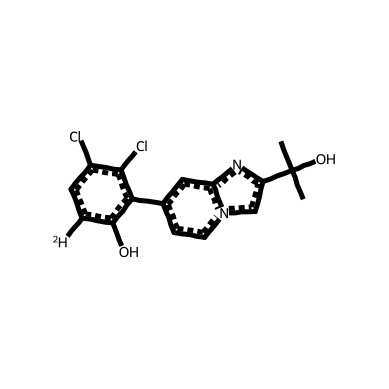 [2H]c1cc(Cl)c(Cl)c(-c2ccn3cc(C(C)(C)O)nc3c2)c1O